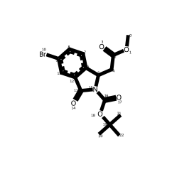 COC(=O)CC1c2ccc(Br)cc2C(=O)N1C(=O)OC(C)(C)C